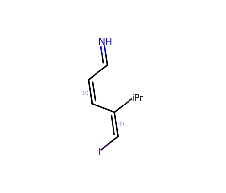 CC(C)C(/C=C\C=N)=C/I